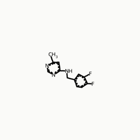 Cc1cc(NCc2ccc(F)c(F)c2)ncn1